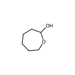 OC1CCCCCO1